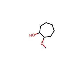 COC1CCCCCC1O